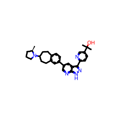 C[C@@H]1CCCN1C1CCc2ccc(-c3cnc4[nH]nc(-c5ccc(C(C)(C)O)cn5)c4c3)cc2CC1